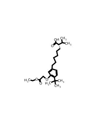 CCOC(=O)COc1cc(CCCCCC[C@H](C(=O)O)C(C)C)ccc1C(C)(C)C